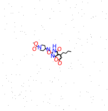 CCCCc1cc(=O)oc2nc(ON=C3CCN(C(=O)OC)CC3)[nH]c(=O)c12